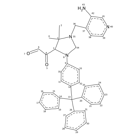 CC1(C)C(C(=O)C=O)N(c2ccc(C(c3ccccc3)(c3ccccc3)c3ccccc3)cc2)CN1Cc1ccncc1N